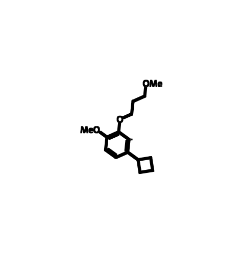 COCCCOc1[c]c(C2CCC2)ccc1OC